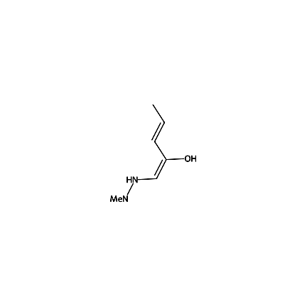 C/C=C/C(O)=C\NNC